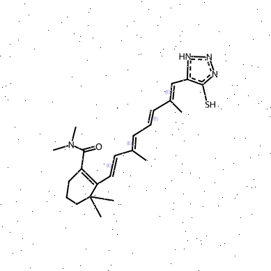 CC(/C=C/C1=C(C(=O)N(C)C)CCCC1(C)C)=C\C=C\C(C)=C\c1[nH]nnc1S